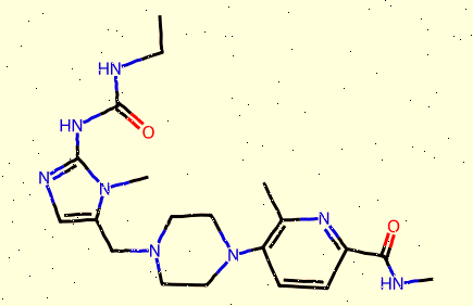 CCNC(=O)Nc1ncc(CN2CCN(c3ccc(C(=O)NC)nc3C)CC2)n1C